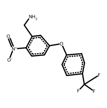 NCc1cc(Oc2ccc(C(F)(F)F)cc2)ccc1[N+](=O)[O-]